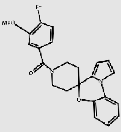 CCc1ccc(C(=O)N2CCC3(CC2)Oc2ccccc2-n2cccc23)cc1OC